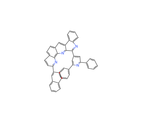 c1ccc(-c2cc(-c3nc4ccccc4c4cc5ccc6ccc(-c7ccc8ccccc8c7)nc6c5nc34)cc(-c3ccccc3)n2)cc1